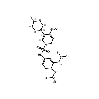 COC1=CCC(S(=O)(=O)NC2=CCC(OC(F)F)C(OC(F)F)=C2)C=C1N1CCN(C)CC1